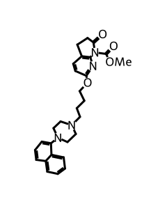 COC(=O)N1C(=O)CCc2ccc(OCCCCN3CCN(c4cccc5ccccc45)CC3)nc21